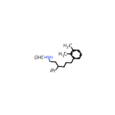 Cc1cccc(CCCC(CCNC=O)C(C)C)c1C